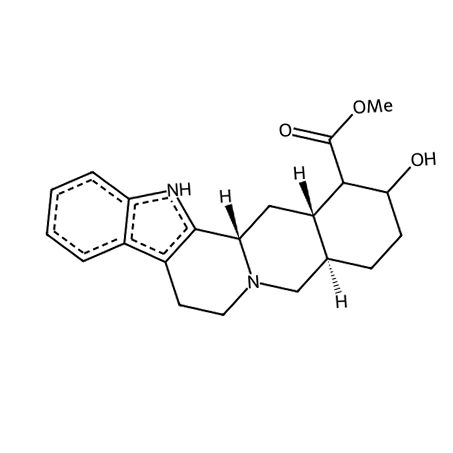 COC(=O)C1C(O)CC[C@H]2CN3CCc4c([nH]c5ccccc45)[C@@H]3C[C@H]12